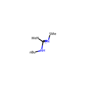 CCCCN/C(=N/SC)NC